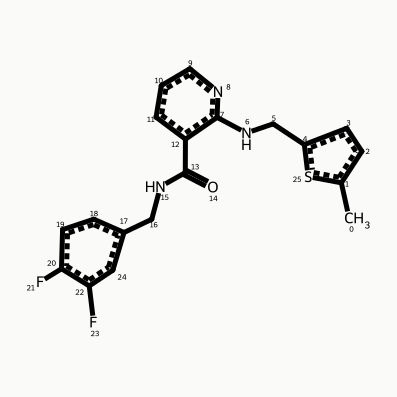 Cc1ccc(CNc2ncccc2C(=O)NCc2ccc(F)c(F)c2)s1